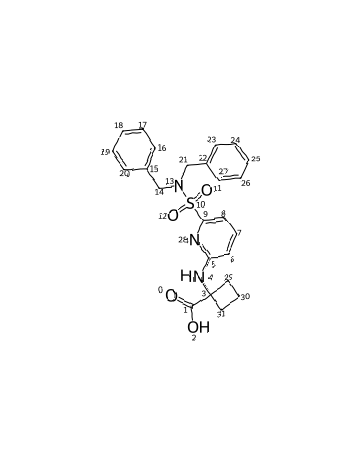 O=C(O)C1(Nc2cccc(S(=O)(=O)N(Cc3ccccc3)Cc3ccccc3)n2)CCC1